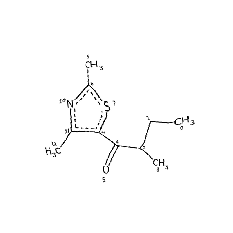 CCC(C)C(=O)c1sc(C)nc1C